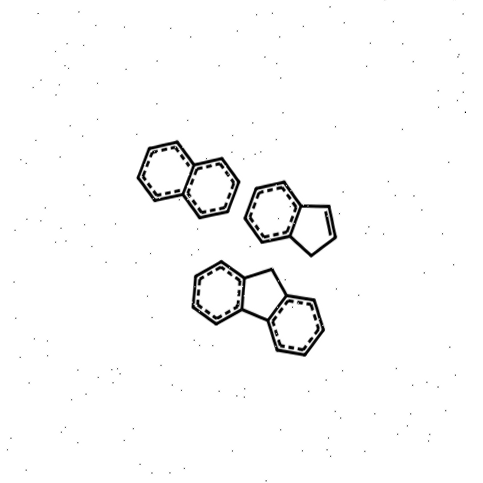 C1=Cc2ccccc2C1.c1ccc2c(c1)Cc1ccccc1-2.c1ccc2ccccc2c1